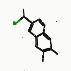 Cc1cc2ccc(C(C)Br)cc2cc1C